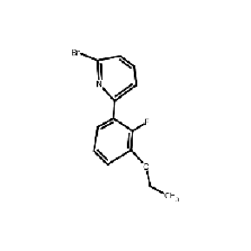 CCOc1cccc(-c2cccc(Br)n2)c1F